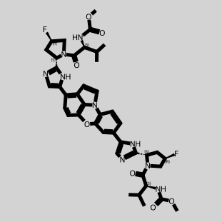 COC(=O)N[C@H](C(=O)N1C[C@H](F)C[C@H]1c1ncc(-c2ccc3c(c2)Oc2ccc(-c4cnc([C@@H]5C[C@@H](F)CN5C(=O)[C@@H](NC(=O)OC)C(C)C)[nH]4)c4ccn-3c24)[nH]1)C(C)C